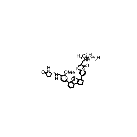 COc1nc(-c2cccc(-c3cccc(-c4ccn5c(=O)c(CNC(C)(C)C(=O)O)cnc5c4)c3Cl)c2Cl)ccc1CNC[C@@H]1CCC(=O)N1